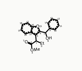 CCC(C(=O)OC)c1c(C(O)c2ccccc2)oc2ccccc12